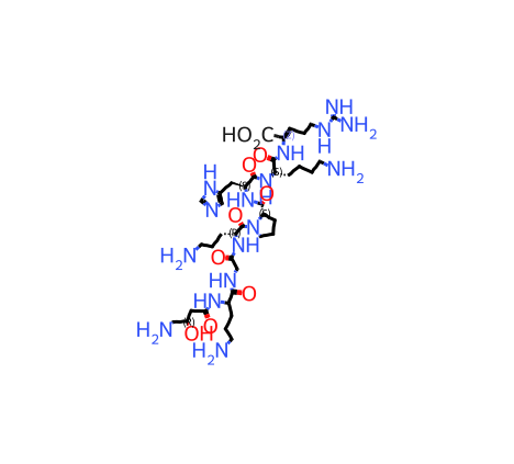 N=C(N)NCC/C=C(\NC(=O)[C@H](CCCCN)NC(=O)[C@H](Cc1cnc[nH]1)NC(=O)[C@@H]1CCCN1C(=O)[C@@H](CCCN)NC(=O)CNC(=O)C(CCCN)NC(=O)C[C@@H](O)CN)C(=O)O